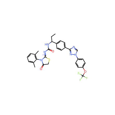 CCC(NC(=O)/N=C1\SCC(=O)N1c1c(C)cccc1C)c1ccc(-c2ncn(-c3ccc(OC(F)(F)F)cc3)n2)cc1